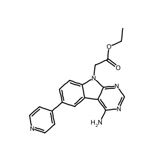 CCOC(=O)Cn1c2ccc(-c3ccncc3)cc2c2c(N)ncnc21